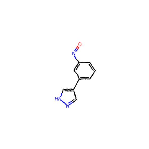 O=Nc1cccc(-c2cn[nH]c2)c1